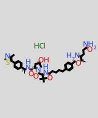 Cc1ncsc1-c1ccc([C@H](C)NC(=O)[C@@H]2C[C@@H](O)CN2C(=O)[C@@H](NC(=O)CCCCc2ccc(CO[C@H](C)[C@@H](N)CCC(N)=O)cc2)C(C)(C)C)cc1.Cl